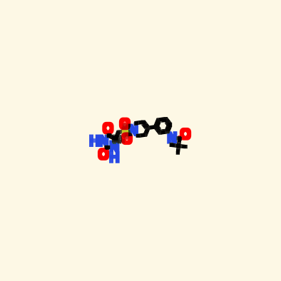 CC1(C)CN(c2cccc(C3=CCN(S(=O)(=O)C[C@@]4(C)NC(=O)NC4=O)CC3)c2)C1=O